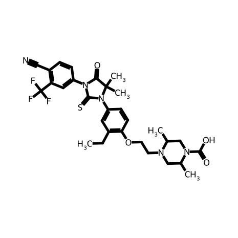 CCc1cc(N2C(=S)N(c3ccc(C#N)c(C(F)(F)F)c3)C(=O)C2(C)C)ccc1OCCN1CC(C)N(C(=O)O)CC1C